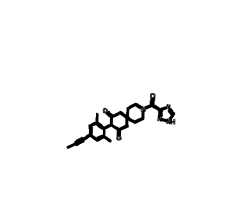 CC#Cc1cc(C)c(C2C(=O)CC3(CCN(C(=O)c4nc[nH]n4)CC3)CC2=O)c(C)c1